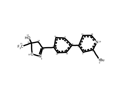 CC(C)(C)c1cc(-c2ccc(C3=NOC(O)(C(F)(F)F)C3)cc2)ccn1